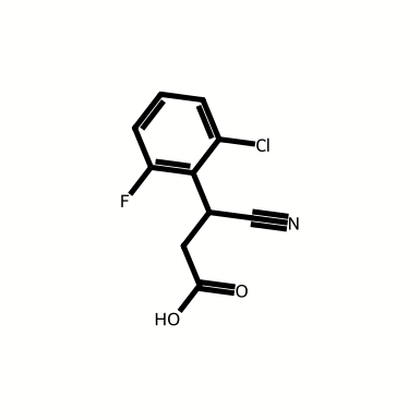 N#CC(CC(=O)O)c1c(F)cccc1Cl